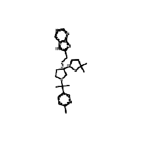 Cc1ccc(C(C)(C)N2CC[C@@](CCc3nc4ncncc4[nH]3)([C@H]3CCC(C)(C)O3)C2)cn1